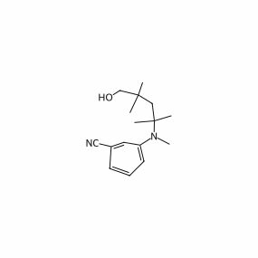 CN(c1cccc(C#N)c1)C(C)(C)CC(C)(C)CO